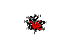 C1CN(P(=N[PH](N=P(N2CCNCC2)(N2CCNCC2)N2CCNCC2)(N=P(N2CCNCC2)(N2CCNCC2)N2CCNCC2)N=P(N2CCNCC2)(N2CCNCC2)N2CCNCC2)(N2CCNCC2)N2CCNCC2)CCN1